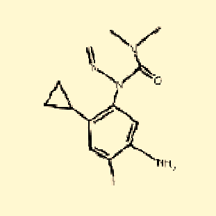 C=NN(C(=O)N(C)C)c1cc(N)c(F)cc1C1CC1